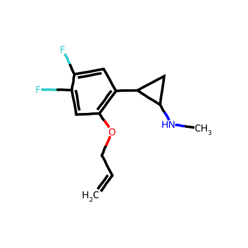 C=CCOc1cc(F)c(F)cc1C1CC1NC